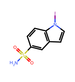 NS(=O)(=O)c1ccc2c(ccn2I)c1